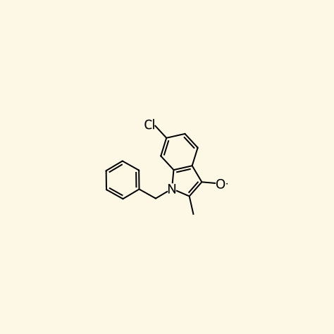 Cc1c([O])c2ccc(Cl)cc2n1Cc1ccccc1